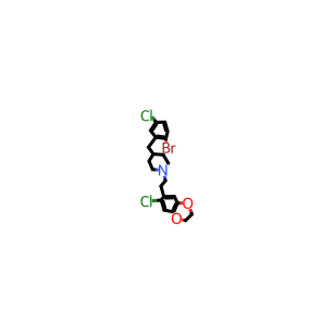 Clc1ccc(Br)c(CC2CCN(CCc3cc4c(cc3Cl)OCCO4)CC2)c1